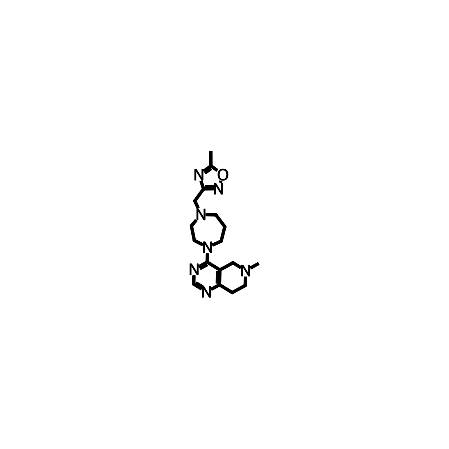 Cc1nc(CN2CCCN(c3ncnc4c3CN(C)CC4)CC2)no1